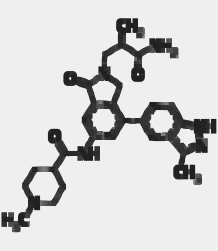 C=C(CN1Cc2c(cc(NC(=O)C3CCN(C)CC3)cc2-c2ccc3[nH]nc(C)c3c2)C1=O)C(N)=O